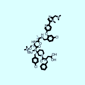 C[C@H](NCc1ccc(Cl)cc1Oc1ccc(-c2cnc(CN(C)C)n2C)nc1)C(=O)N[C@@H](CO[Si](C)(C)C(C)(C)C)C(=O)N(C)[C@@]1(Cc2ccc(Cl)cc2)CCCN(C(=O)[C@H](Cc2ccccc2)CC(O)O)C1